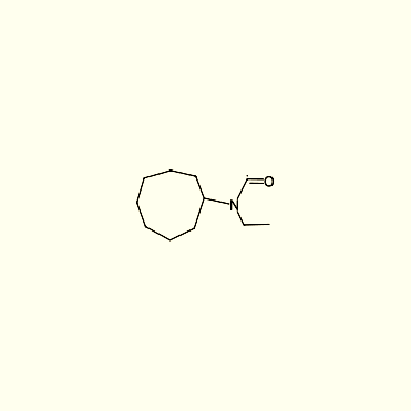 CCN([C]=O)C1CCCCCCC1